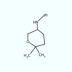 CC(C)NC1CCC(C)(C)OC1